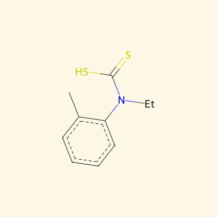 CCN(C(=S)S)c1ccccc1C